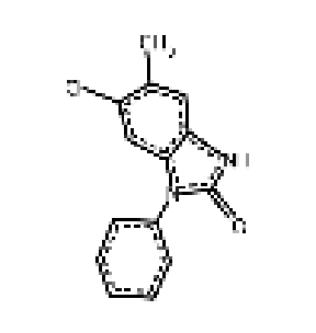 Cc1cc2[nH]c(=O)n(-c3ccccc3)c2cc1Cl